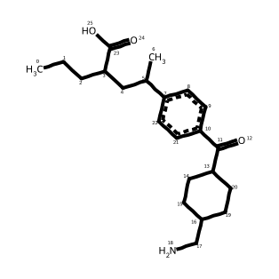 CCCC(CC(C)c1ccc(C(=O)C2CCC(CN)CC2)cc1)C(=O)O